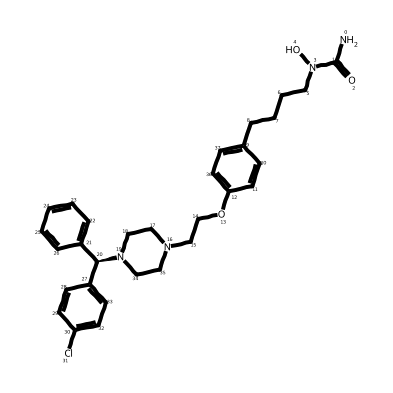 NC(=O)N(O)CCCCc1ccc(OCCN2CCN([C@H](c3ccccc3)c3ccc(Cl)cc3)CC2)cc1